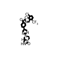 Cn1c(=O)c2ccc(-c3cnc(N4CCN5C(=O)NC[C@H]5C4)nc3)cc2n1Cc1cc(Cl)ccc1C(F)(F)F